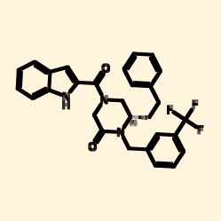 O=C(c1cc2ccccc2[nH]1)N1CC(=O)N(Cc2cccc(C(F)(F)F)c2)[C@@H](CCc2ccccc2)C1